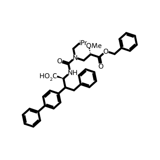 CO[C@@H](CN(CC(C)C)C(=O)N[C@H](C(=O)O)C(Cc1ccccc1)c1ccc(-c2ccccc2)cc1)C(=O)OCc1ccccc1